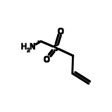 C=CCS(=O)(=O)[CH]N